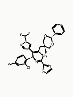 Fc1ccc([C@@H]2N=C(c3nccs3)NC(C[C@]3(F)CO[C@H](c4ccccc4)OC3)=C2c2cnn(C(F)F)c2)c(Cl)c1